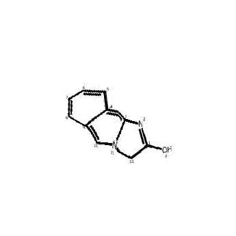 OC1=Nc2c3ccccc3cn2C1